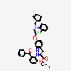 COC(=O)[C@H](Cc1ccc(OCCN(CC2CCCC2)c2ccccc2Cl)cc1)Nc1ccccc1C(=O)c1ccccc1